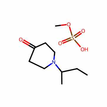 CCC(C)N1CCC(=O)CC1.COS(=O)(=O)O